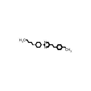 CCCCC[C@H]1CC[C@H](c2ncc(CCc3ccc(CC)cc3)cn2)CC1